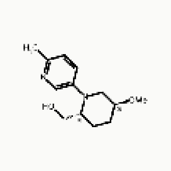 CO[C@H]1CC[C@H](CO)N(c2ccc(C)nc2)C1